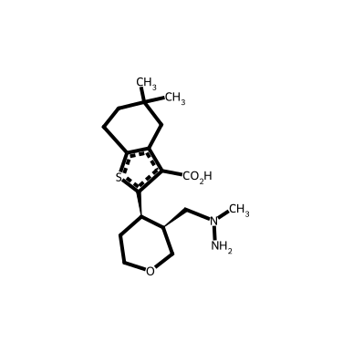 CN(N)C[C@H]1COCC[C@H]1c1sc2c(c1C(=O)O)CC(C)(C)CC2